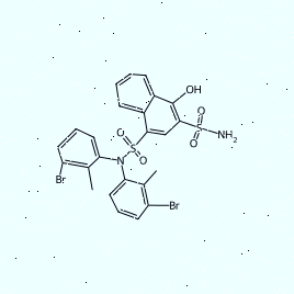 Cc1c(Br)cccc1N(c1cccc(Br)c1C)S(=O)(=O)c1cc(S(N)(=O)=O)c(O)c2ccccc12